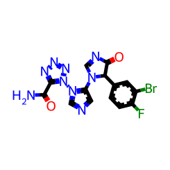 NC(=O)c1nnnn1-n1cncc1N1C=NC(=O)C1c1ccc(F)c(Br)c1